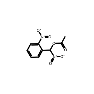 CC(=O)OC(c1ccccc1[N+](=O)[O-])[N+](=O)[O-]